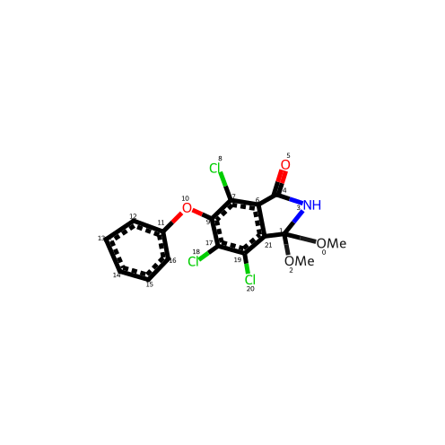 COC1(OC)NC(=O)c2c(Cl)c(Oc3ccccc3)c(Cl)c(Cl)c21